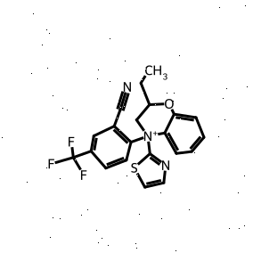 CCC1C[N+](c2nccs2)(c2ccc(C(F)(F)F)cc2C#N)c2ccccc2O1